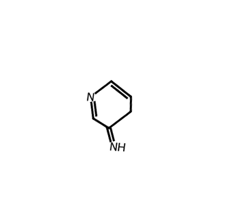 N=C1C=NC=CC1